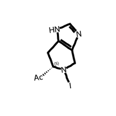 CC(=O)[C@@H]1Cc2[nH]cnc2CN1I